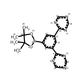 CC1(C)OB(c2cc(-c3ncncn3)cc(-c3ncncn3)c2)OC1(C)C